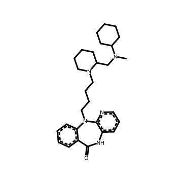 CN(CC1CCCCN1CCCCN1c2ccccc2C(=O)Nc2cccnc21)C1CCCCC1